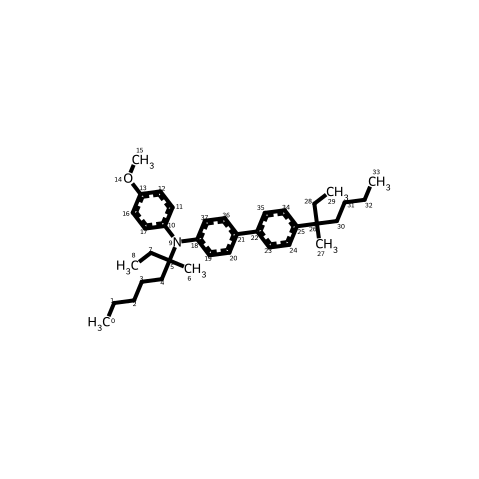 CCCCCC(C)(CC)N(c1ccc(OC)cc1)c1ccc(-c2ccc(C(C)(CC)CCCC)cc2)cc1